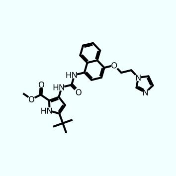 COC(=O)c1[nH]c(C(C)(C)C)cc1NC(=O)Nc1ccc(OCCn2ccnc2)c2ccccc12